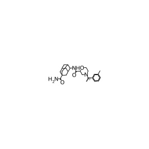 Cc1cccc([C@@H](C)N2CCOC(C(=O)NC3C4CC5CC3CC(C(N)=O)(C5)C4)C2)c1